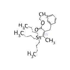 CCC[CH2][Sn]([CH2]CCC)([CH2]CCC)/[C](C)=C(/Cc1ccccc1)C(=O)OCC